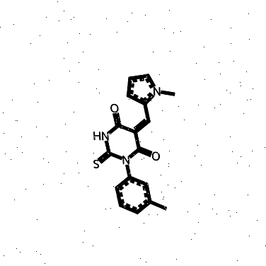 Cc1cccc(N2C(=O)/C(=C/c3cccn3C)C(=O)NC2=S)c1